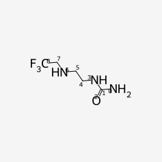 NC(=O)NCCNCC(F)(F)F